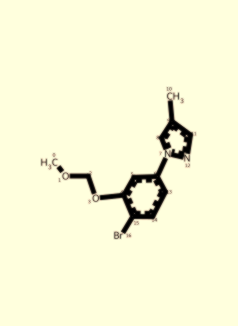 COCOc1cc(-n2cc(C)cn2)ccc1Br